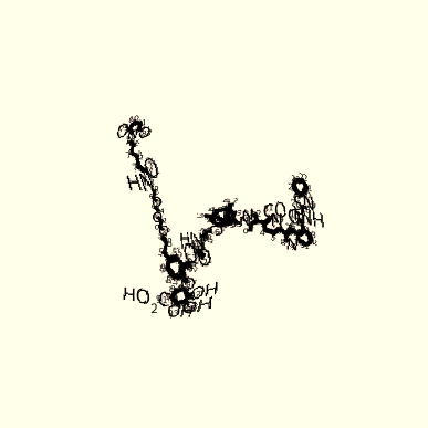 Cc1c(-c2ccc(-c3cnc4cccc(C(=O)Nc5nc6ccccc6s5)c4c3)nc2C(=O)O)cnn1CC12CC3(C)CC(C)(C1)CC(OCCNC(=O)OCc1cc(CCCOCCOCCOCCNC(=O)CCCCCN4C(=O)C=CC4=O)ccc1O[C@@H]1C[C@H](C(=O)O)[C@H](O)[C@H](O)[C@@H]1O)(C3)C2